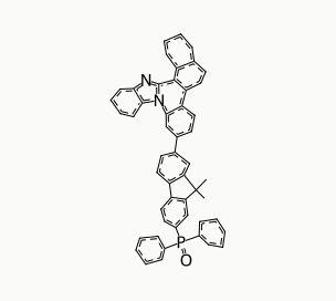 CC1(C)c2cc(-c3ccc4c5ccc6ccccc6c5c5nc6ccccc6n5c4c3)ccc2-c2ccc(P(=O)(c3ccccc3)c3ccccc3)cc21